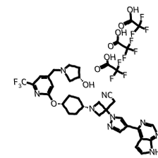 N#CCC1(n2cc(-c3ncnc4[nH]ccc34)cn2)CN([C@H]2CC[C@@H](Oc3cc(CN4CC[C@H](O)C4)cc(C(F)(F)F)n3)CC2)C1.O=C(O)C(F)(F)F.O=C(O)C(F)(F)F.O=C(O)C(F)(F)F